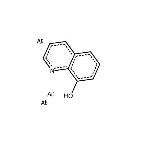 Oc1cccc2cccnc12.[Al].[Al].[Al]